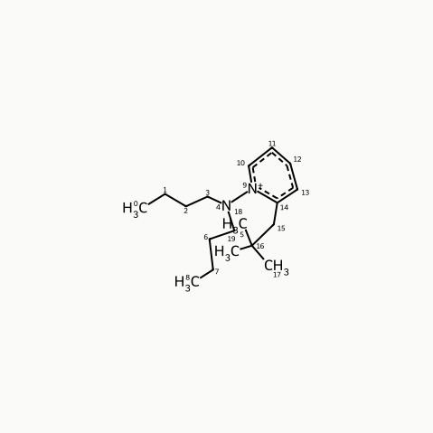 CCCCN(CCCC)[n+]1ccccc1CC(C)(C)C